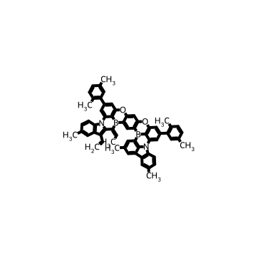 C=Cc1c2n(c3ccc(C)cc13)-c1cc(-c3cc(C)ccc3C)cc3c1B(/C2=C/C)c1cc2c(cc1O3)Oc1cc(-c3cc(C)ccc3C)cc3c1B2c1cc(C)cc2c4cc(C)ccc4n-3c12